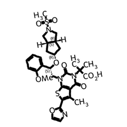 COc1ccccc1[C@@H](Cn1c(=O)n(C(C)(C)C(=O)O)c(=O)c2c(C)c(-c3ncco3)sc21)O[C@@H]1C[C@@H]2CN(S(C)(=O)=O)C[C@@H]2C1